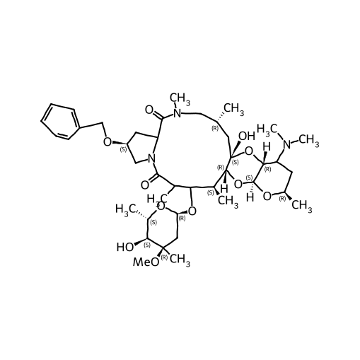 CO[C@]1(C)C[C@H](OC2C(C)C(=O)N3C[C@@H](OCc4ccccc4)CC3C(=O)N(C)C[C@H](C)C[C@]3(O)O[C@@H]4C(N(C)C)C[C@@H](C)O[C@H]4O[C@@H]3[C@H]2C)O[C@@H](C)[C@@H]1O